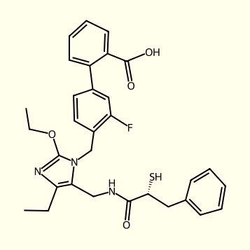 CCOc1nc(CC)c(CNC(=O)[C@H](S)Cc2ccccc2)n1Cc1ccc(-c2ccccc2C(=O)O)cc1F